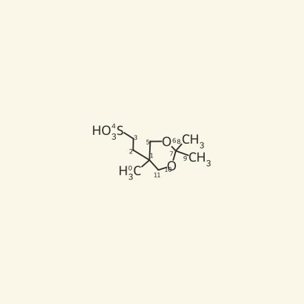 CC1(CCS(=O)(=O)O)COC(C)(C)OC1